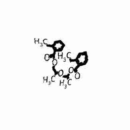 CCc1ccccc1C(=O)OCC(C)OCC(C)OC(=O)c1ccccc1CC